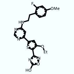 CCOc1cc(-c2cc(NCCc3ccc(OC)cc3F)ncn2)sc1-c1noc(O)n1